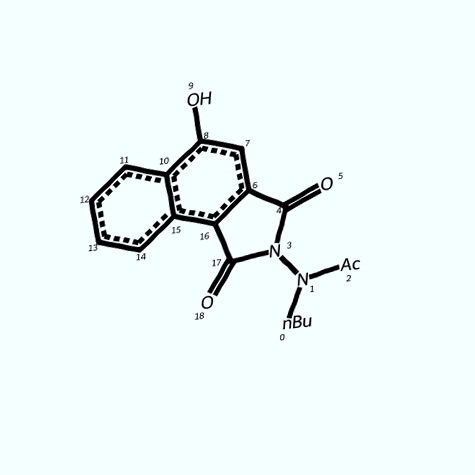 CCCCN(C(C)=O)N1C(=O)c2cc(O)c3ccccc3c2C1=O